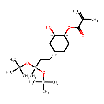 C=C(C)C(=O)O[C@H]1CC[C@H](CC[Si](C)(O[Si](C)(C)C)O[Si](C)(C)C)C[C@H]1O